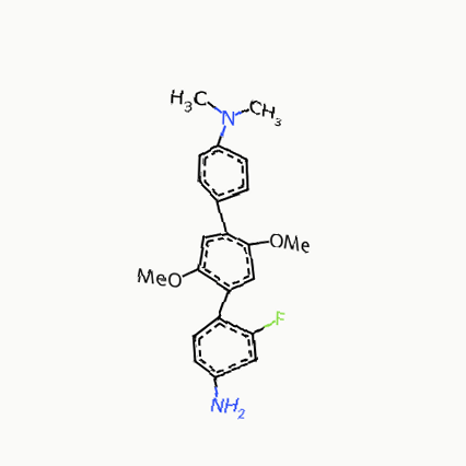 COc1cc(-c2ccc(N)cc2F)c(OC)cc1-c1ccc(N(C)C)cc1